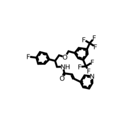 O=C(/C=C/c1cccnc1)NCC(COCc1cc(C(F)(F)F)cc(C(F)(F)F)c1)c1ccc(F)cc1